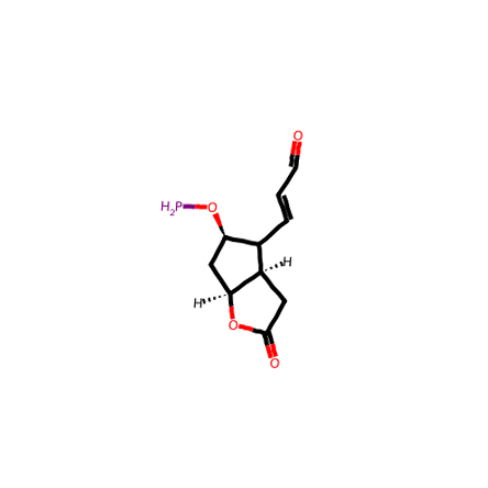 O=C/C=C/C1[C@H]2CC(=O)O[C@H]2C[C@H]1OP